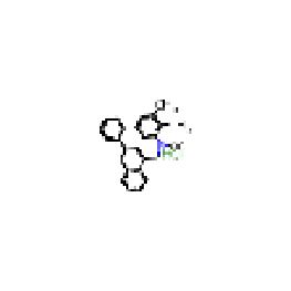 CC(=O)N(CC1=CC(c2ccccc2)Cc2ccccc21)c1cccc(C)c1C.Cl